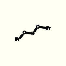 CC(C)O[B]OC(C)C